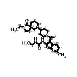 CCNC(=O)Nc1sc2nc(C)ccc2c1C(=O)N1CCC(N2CCCC3(CCN(CC)C3=O)C2)CC1